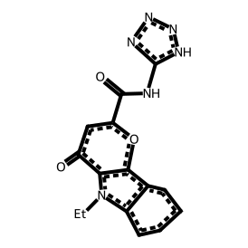 CCn1c2ccccc2c2oc(C(=O)Nc3nnn[nH]3)cc(=O)c21